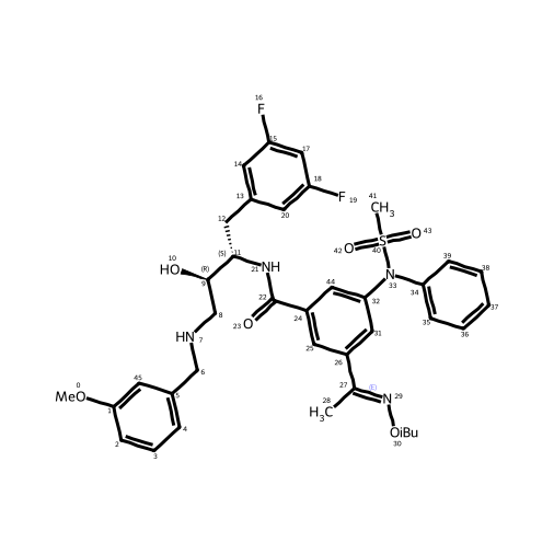 COc1cccc(CNC[C@@H](O)[C@H](Cc2cc(F)cc(F)c2)NC(=O)c2cc(/C(C)=N/OCC(C)C)cc(N(c3ccccc3)S(C)(=O)=O)c2)c1